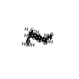 C=C(C)[C@@H]1CC[C@]2(NCCN3CCS(O)(O)CC3)CC[C@]3(C)[C@H](CC[C@@H]4[C@@]5(C)CC=C(C6=CCC(COc7nsc(=O)[nH]7)(C(=O)O)CC6)C(C)(C)[C@@H]5CC[C@]43C)[C@@H]12